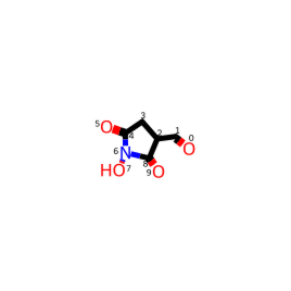 O=CC1CC(=O)N(O)C1=O